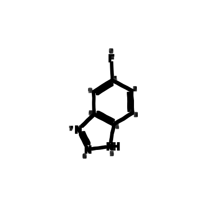 Fc1ccc2[nH]nnc2c1